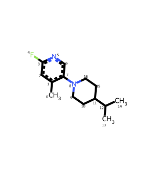 Cc1cc(F)ncc1N1CCC(C(C)C)CC1